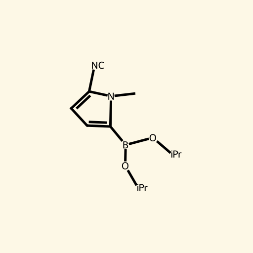 [C-]#[N+]c1ccc(B(OC(C)C)OC(C)C)n1C